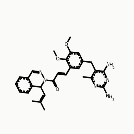 COc1cc(Cc2c(C)nc(N)nc2N)cc(/C=C/C(=O)N2N=Cc3ccccc3C2C=C(C)C)c1OC